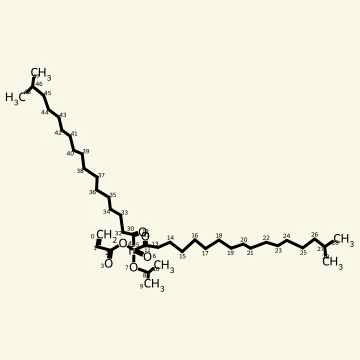 C=CC(=O)[O][Ti](=[O])([O]C(C)C)([C](=O)CCCCCCCCCCCCCCC(C)C)[C](=O)CCCCCCCCCCCCCCC(C)C